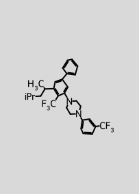 CC(C)CC(C)c1cc(-c2ccccc2)cc(N2CCN(c3cccc(C(F)(F)F)c3)CC2)c1C(F)(F)F